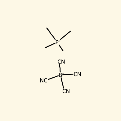 C[P+](C)(C)C.N#C[B-](C#N)(C#N)C#N